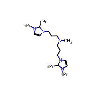 CCCC1N(CCC)C=CN1CCCN(C)CCCN1C=CN(CCC)C1CCC